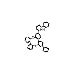 C1=CC(c2ccccc2)NC(c2ccc3c(c2)Oc2ccccc2-c2ccccc2Oc2cc(-c4ccccc4)ccc2-3)=C1